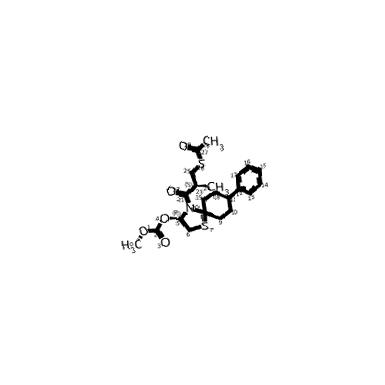 COC(=O)O[C@@H]1CSC2(CCC(c3ccccc3)CC2)N1C(=O)[C@H](C)CSC(C)=O